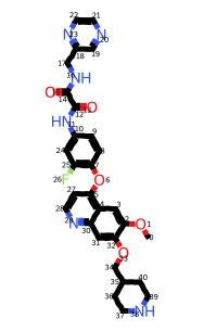 COc1cc2c(Oc3ccc(NC(=O)C(=O)NCc4cnccn4)cc3F)ccnc2cc1OCC1CCNCC1